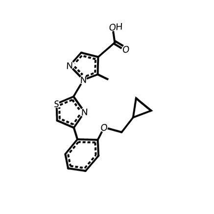 Cc1c(C(=O)O)cnn1-c1nc(-c2ccccc2OCC2CC2)cs1